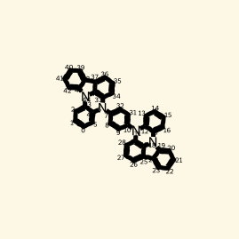 c1ccc2c(c1)N(c1ccc(N3c4ccccc4-n4c5ccccc5c5cccc3c54)cc1)c1cccc3c4ccccc4n-2c13